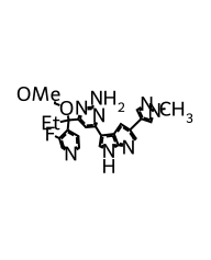 CCC(OCOC)(c1cc(-c2c[nH]c3ncc(-c4cnn(C)c4)cc23)nc(N)n1)c1ccncc1F